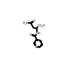 NC(=O)CC(NC(=O)c1cccnc1)C(=O)O